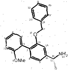 COc1ncccc1-c1ccc([C@@H](C)N)cc1OCc1ccccc1